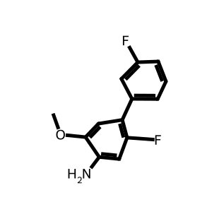 COc1cc(-c2cccc(F)c2)c(F)cc1N